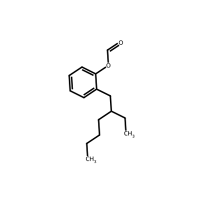 CCCCC(CC)Cc1ccccc1OC=O